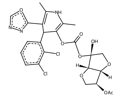 CC(=O)O[C@H]1CO[C@H]2[C@@H]1OC[C@@]2(O)OC(=O)OC1=C(C)NC(C)=C(c2nnco2)C1c1cccc(Cl)c1Cl